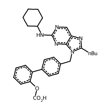 CCCCc1nc2cnc(NC3CCCCC3)nc2n1Cc1ccc(-c2ccccc2OC(=O)O)cc1